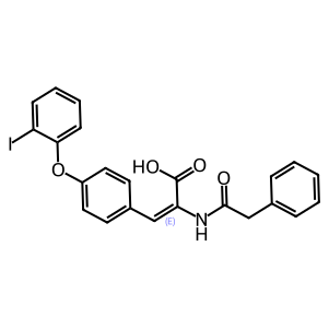 O=C(Cc1ccccc1)N/C(=C/c1ccc(Oc2ccccc2I)cc1)C(=O)O